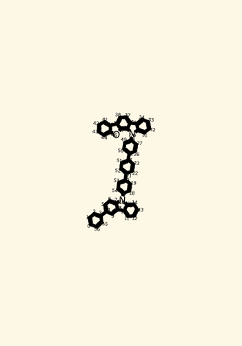 c1ccc(-c2ccc3c(c2)c2ccccc2n3-c2ccc(-c3ccc(-c4ccc(-n5c6ccccc6c6ccc7c8ccccc8oc7c65)cc4)cc3)cc2)cc1